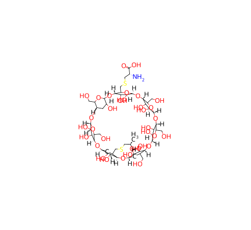 C[C@H](CSCC1C[C@@H]2O[C@@H]3C(CO)O[C@@H](O[C@H]4C[C@H](O)[C@@H](OC4CO)O[C@@H]4C(CSC[C@@H](N)C(=O)O)O[C@@H](O[C@@H]5C(CO)O[C@H](O[C@@H]6C(CO)O[C@H](O[C@@H]7C(CO)C[C@H](O[C@H]1[C@H](O)C2O)C(O)[C@H]7O)[C@@H](O)C6O)[C@@H](O)C5O)[C@@H](O)C4O)[C@@H](O)C3O)C(=O)O